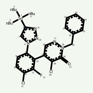 CCC[CH2][Sn]([CH2]CCC)([CH2]CCC)[c]1cn(-c2ccc(Cl)c(F)c2-c2cnn(Cc3ccccc3)c(=O)c2Cl)nn1